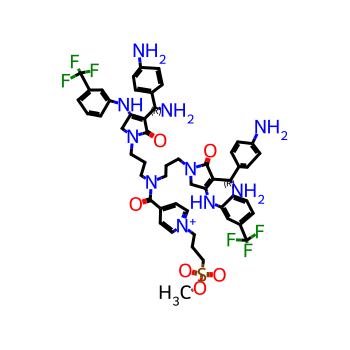 COS(=O)(=O)CCC[n+]1ccc(C(=O)N(CCCN2CC(Nc3cccc(C(F)(F)F)c3)=C([C@H](N)c3ccc(N)cc3)C2=O)CCCN2CC(Nc3cccc(C(F)(F)F)c3)=C([C@H](N)c3ccc(N)cc3)C2=O)cc1